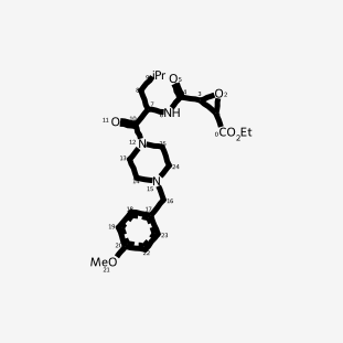 CCOC(=O)C1OC1C(=O)NC(CC(C)C)C(=O)N1CCN(Cc2ccc(OC)cc2)CC1